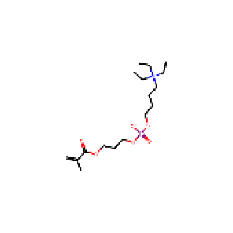 C=C(C)C(=O)OCCCOP(=O)([O-])OCCCC[N+](CC)(CC)CC